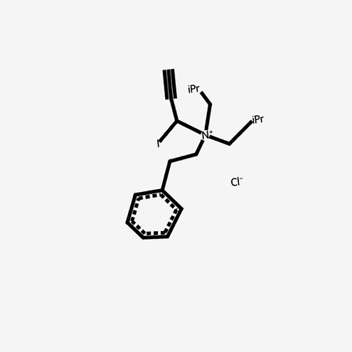 C#CC(I)[N+](CCc1ccccc1)(CC(C)C)CC(C)C.[Cl-]